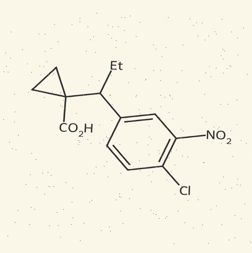 CCC(c1ccc(Cl)c([N+](=O)[O-])c1)C1(C(=O)O)CC1